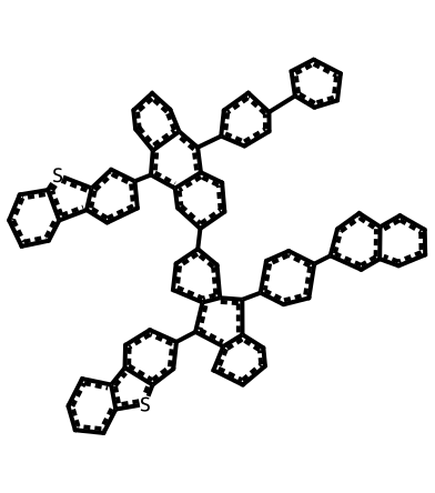 c1ccc(-c2ccc(-c3c4ccccc4c(-c4ccc5c(c4)sc4ccccc45)c4cc(-c5ccc6c(-c7ccc8c(c7)sc7ccccc78)c7ccccc7c(-c7ccc(-c8ccc9ccccc9c8)cc7)c6c5)ccc34)cc2)cc1